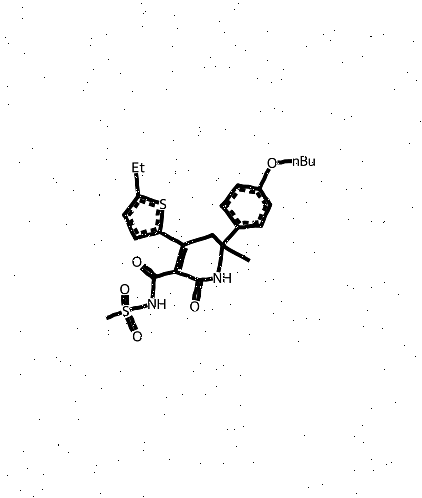 CCCCOc1ccc(C2(C)CC(c3ccc(CC)s3)=C(C(=O)NS(C)(=O)=O)C(=O)N2)cc1